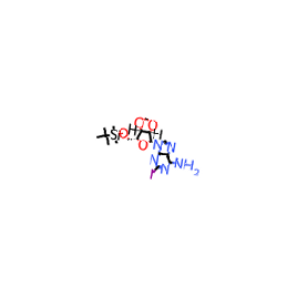 CC(C)(C)[Si](C)(C)OC[C@H]1O[C@@H](n2cnc3c(N)nc(I)nc32)[C@@H]2OCO[C@@H]21